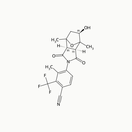 Cc1c(N2C(=O)[C@@H]3[C@H](C2=O)C2(C)OC3(C)C[C@H]2O)ccc(C#N)c1C(F)(F)F